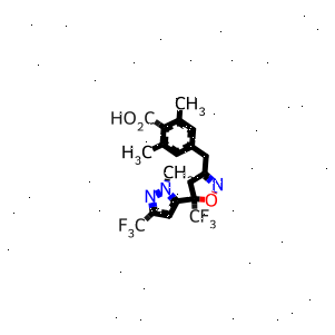 Cc1cc(CC2=NOC(c3cc(C(F)(F)F)nn3C)(C(F)(F)F)C2)cc(C)c1C(=O)O